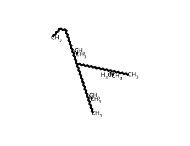 CCCCC/C=C\C/C=C\CCCCCCCCCCCC(CCCCCC(CCCCCCCCC=CCCCCCCCC(CCCCCCCC)N(C)C)CCCCCCCCC=CCCCCCCCC(CCCCCCCCC)N(C)C)N(C)C